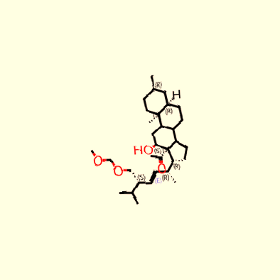 COCOC[C@H](/C=C/[C@@H](C)[C@H]1CCC2C3CC[C@@H]4C[C@H](C)CC[C@]4(C)C3C[C@H](O)[C@@]21C(C)=O)C(C)C